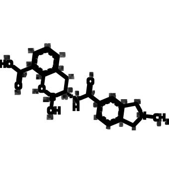 CN1Cc2ccc(C(=O)N[C@H]3Cc4cccc(C(=O)O)c4OB3O)cc2C1